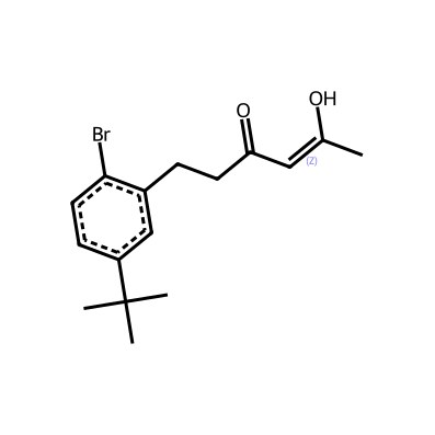 C/C(O)=C/C(=O)CCc1cc(C(C)(C)C)ccc1Br